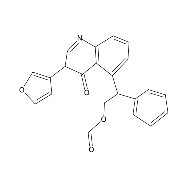 O=COCC(c1ccccc1)c1cccc2c1C(=O)C(c1ccoc1)C=N2